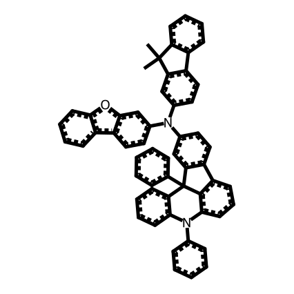 CC1(C)c2ccccc2-c2ccc(N(c3ccc4c(c3)C3(c5ccccc5)c5ccccc5N(c5ccccc5)c5cccc-4c53)c3ccc4c(c3)oc3ccccc34)cc21